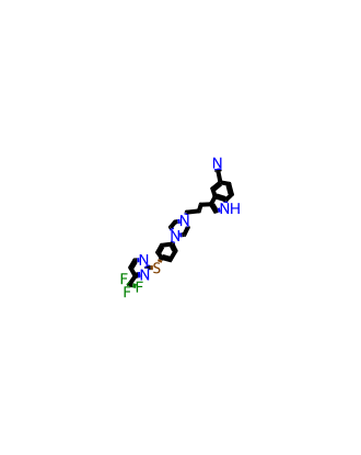 N#Cc1ccc2[nH]cc(CCCN3CCN(c4ccc(Sc5nccc(C(F)(F)F)n5)cc4)CC3)c2c1